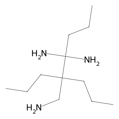 CCCC(N)(N)C(CN)(CCC)CCC